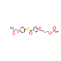 C=COC(=O)COc1ccc(SC(=O)c2ccc(OCCCCOC(=O)C=C)cc2)cc1